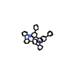 C1=CCC(C2CC(N3C4C=CC=CC4C4C=CC=C(C5=CC6C7C=CCCC7N(C7CC=C(c8ccccc8)CC7)C6CC5)C43)=CC(C3C=CCCC3)C2)C=C1